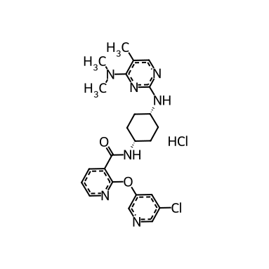 Cc1cnc(N[C@H]2CC[C@@H](NC(=O)c3cccnc3Oc3cncc(Cl)c3)CC2)nc1N(C)C.Cl